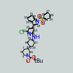 CC(C)(C)OC(=O)N1CCCC(C2CCC(Nc3cc(-c4cn(S(=O)(=O)c5ccccc5)c5ccccc45)cc(Cl)n3)CC2)C1